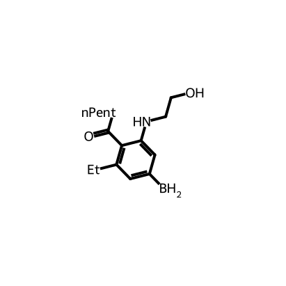 Bc1cc(CC)c(C(=O)CCCCC)c(NCCO)c1